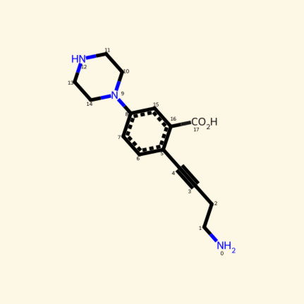 NCCC#Cc1ccc(N2CCNCC2)cc1C(=O)O